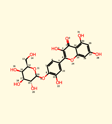 O=c1c(O)c(-c2ccc(OC3O[C@H](CO)[C@H](O)[C@H](O)[C@H]3O)c(O)c2)oc2cc(O)cc(O)c12